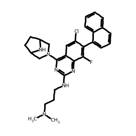 CN(C)CCCNc1nc(N2CC3CCC(C2)N3)c2cc(Cl)c(-c3cccc4ccccc34)c(F)c2n1